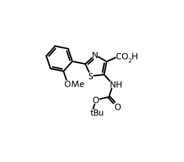 COc1ccccc1-c1nc(C(=O)O)c(NC(=O)OC(C)(C)C)s1